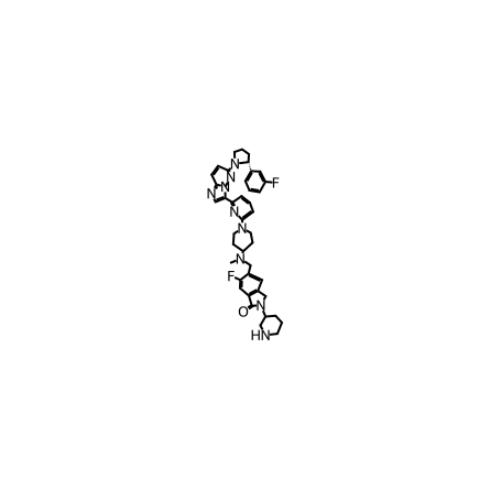 CN(Cc1cc2c(cc1F)C(=O)N(C1CCCNC1)C2)C1CCN(c2cccc(-c3cnc4ccc(N5CCC[C@@H]5c5cccc(F)c5)nn34)n2)CC1